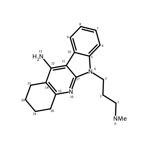 CNCCCn1c2ccccc2c2c(N)c3c(nc21)CCCC3